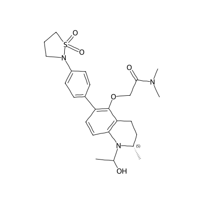 CC(O)N1c2ccc(-c3ccc(N4CCCS4(=O)=O)cc3)c(OCC(=O)N(C)C)c2CC[C@@H]1C